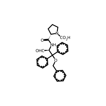 O=C[C@@H](NC(=O)[C@@H]1CCCN1C(=O)O)C(OCc1ccccc1)(c1ccccc1)c1ccccc1